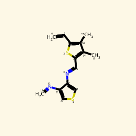 C=Cc1sc(C=Nc2cscc2N=C)c(C)c1C